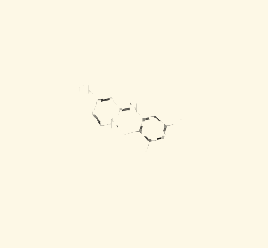 ClC1=CC2=Nc3cc(Cl)cc(Cl)c3CN2C=C1